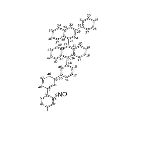 O=Nc1ccccc1C1=CC(c2cccc(-c3c4ccccc4c(-c4cc(-c5ccccc5)cc5ccccc45)c4ccccc34)c2)CC=C1